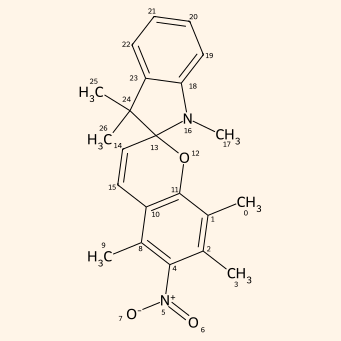 Cc1c(C)c([N+](=O)[O-])c(C)c2c1OC1(C=C2)N(C)c2ccccc2C1(C)C